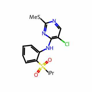 CSc1ncc(Cl)c(Nc2ccccc2S(=O)(=O)C(C)C)n1